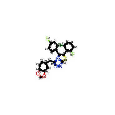 Fc1ccc(-c2c(-c3c(F)cccc3Cl)sc3nnc(Cc4ccc5c(c4)OCO5)n23)cc1